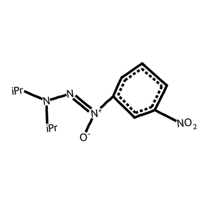 CC(C)N(N=[N+]([O-])c1cccc([N+](=O)[O-])c1)C(C)C